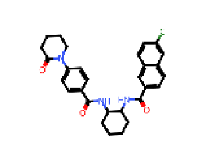 O=C(NC1CCCCC1NC(=O)c1ccc2cc(Cl)ccc2c1)c1ccc(N2CCCCC2=O)cc1